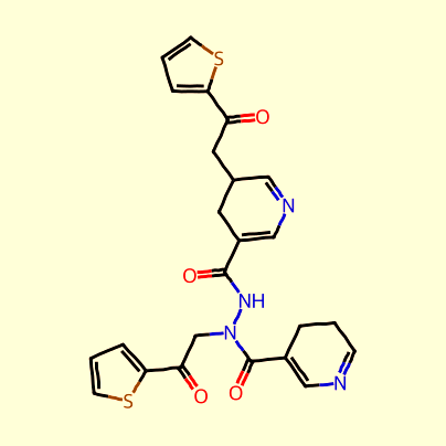 O=C(NN(CC(=O)c1cccs1)C(=O)C1=CN=CCC1)C1=CN=CC(CC(=O)c2cccs2)C1